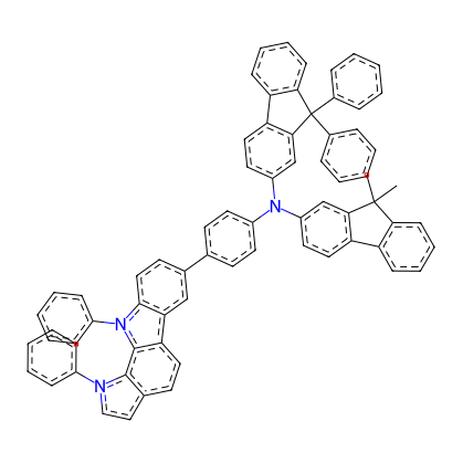 CC1(C)c2ccccc2-c2ccc(N(c3ccc(-c4ccc5c(c4)c4ccc6ccn(-c7ccccc7)c6c4n5-c4ccccc4)cc3)c3ccc4c(c3)C(c3ccccc3)(c3ccccc3)c3ccccc3-4)cc21